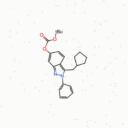 CC(C)(C)OC(=O)Oc1ccc2c(CC3CCCC3)n(-c3ccccc3)nc2c1